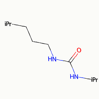 CC(C)CCCNC(=O)NC(C)C